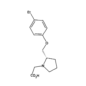 CCc1ccc(OC[C@@H]2CCCN2CC(=O)O)cc1